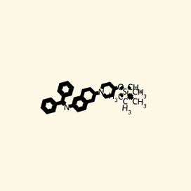 CC(C)(C)[Si](C)(C)OC1CCN(C2CCc3cc(N=C(c4ccccc4)c4ccccc4)ccc3C2)CC1